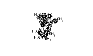 CC[C@H](C)CC(=O)N(C)CC(=O)N(C)CC(=O)N(C)C(=O)N(C)CC(=O)NC(=O)N(CCN1CCN(C)CC1)CC(=O)NC1(C(=O)N(C)C(=O)N(C)[C@@H](CC(=O)N(C)C(N)=O)C(=O)N2CCCCC2)CCCC1